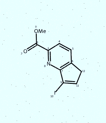 COC(=O)c1ccc2c(n1)C(I)=CC2